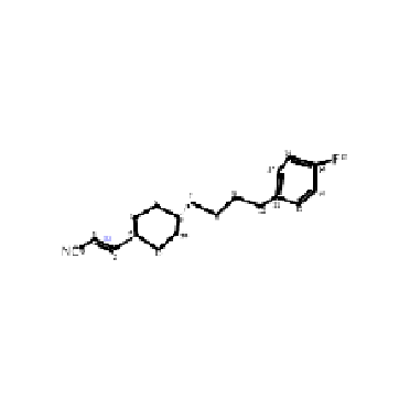 N#C/C=C/[C@H]1CC[C@H](CCCCc2ccc(F)cc2)CC1